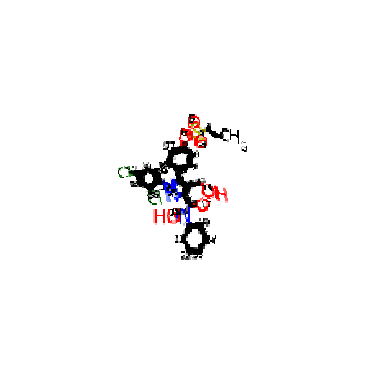 CCCS(=O)(=O)Oc1ccc(-c2c(CO)c(C(=O)N(O)C3CCCCC3)nn2-c2ccc(Cl)cc2Cl)cc1